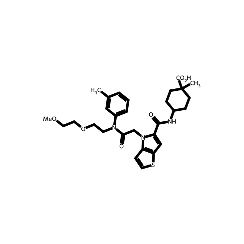 COCCOCCN(C(=O)Cn1c(C(=O)NC2CCC(C)(C(=O)O)CC2)cc2sccc21)c1cccc(C)c1